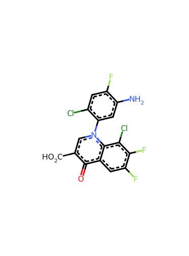 Nc1cc(-n2cc(C(=O)O)c(=O)c3cc(F)c(F)c(Cl)c32)c(Cl)cc1F